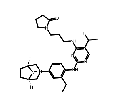 CCc1cc(N2C[C@H]3CC[C@@H](C2)N3C)ccc1Nc1ncc(C(F)F)c(NCCCN2CCCC2=O)n1